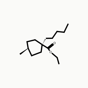 CCCCC[C@]1(C(=O)OCC)CC[C@@H](C)CC1